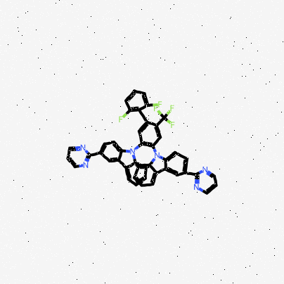 Fc1cccc(F)c1-c1cc(-n2c3ccccc3c3cc(-c4ncccn4)ccc32)c(-n2c3ccccc3c3cc(-c4ncccn4)ccc32)cc1C(F)(F)F